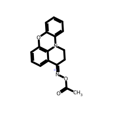 CC(=O)O/N=C1\CCN2c3ccccc3Oc3cccc1c32